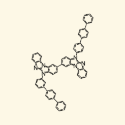 c1ccc(-c2ccc(-c3ccc(-n4c5ccc(-c6ccc7c(c6)n6c8ccccc8nc6n7-c6cccc(-c7ccc(-c8ccccc8)cc7)c6)cc5n5c6ccccc6nc45)cc3)cc2)cc1